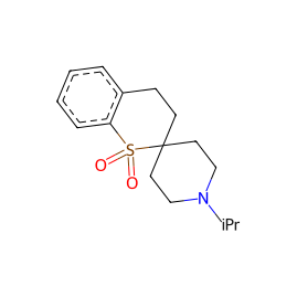 CC(C)N1CCC2(CCc3ccccc3S2(=O)=O)CC1